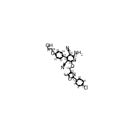 Cc1oc(-c2ccc(Cl)cc2)nc1COc1nc(N)c(C#N)c(-c2ccc(OCCO)cc2)c1C#N